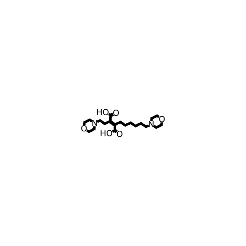 O=C(O)/C(CCCCCCN1CCOCC1)=C(\CCN1CCOCC1)C(=O)O